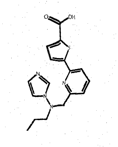 CCCN(Cc1cccc(-c2ccc(C(=O)O)s2)n1)n1ccnc1